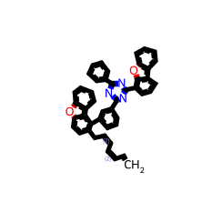 C=C/C=C\C=C/Cc1ccc2oc3ccccc3c2c1-c1cccc(-c2nc(-c3ccccc3)nc(-c3cccc4c3oc3ccccc34)n2)c1